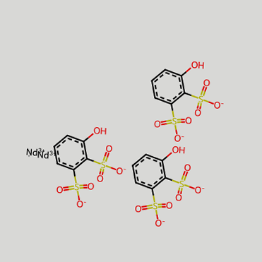 O=S(=O)([O-])c1cccc(O)c1S(=O)(=O)[O-].O=S(=O)([O-])c1cccc(O)c1S(=O)(=O)[O-].O=S(=O)([O-])c1cccc(O)c1S(=O)(=O)[O-].[Nd+3].[Nd+3]